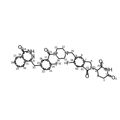 O=C1CCC(N2Cc3cc(CN4CCN(C(=O)c5cc(Cc6n[nH]c(=O)c7ccccc67)ccc5F)CC4)c(F)cc3C2=O)C(=O)N1